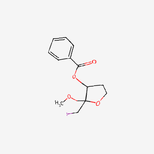 COC1(CI)OCCC1OC(=O)c1ccccc1